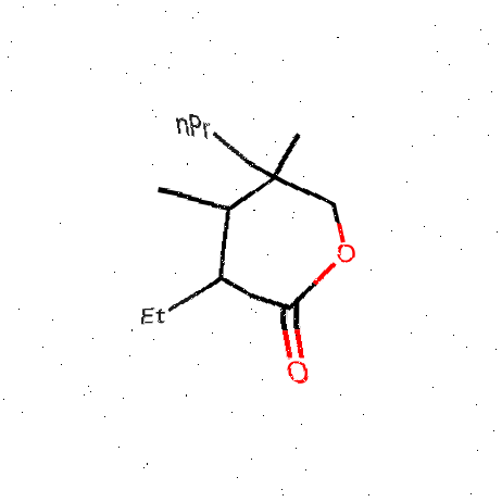 CCCC1(C)COC(=O)C(CC)C1C